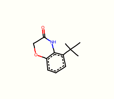 CC(C)(C)c1cccc2c1NC(=O)CO2